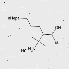 CCCCCCCCCCC(C(O)CC)C(C)(C)N.Cl